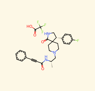 C[C@@H](CN1CCC2(CC1)C(=O)NC[C@@H]2c1ccc(F)cc1)NC(=O)C#Cc1ccccc1.O=C(O)C(F)(F)F